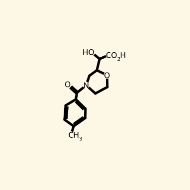 Cc1ccc(C(=O)N2CCOC(C(O)C(=O)O)C2)cc1